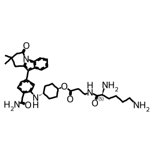 CC1(C)CC(=O)n2c(c(-c3ccc(C(N)=O)c(N[C@H]4CC[C@H](OC(=O)CCNC(=O)[C@@H](N)CCCCN)CC4)c3)c3ccccc32)C1